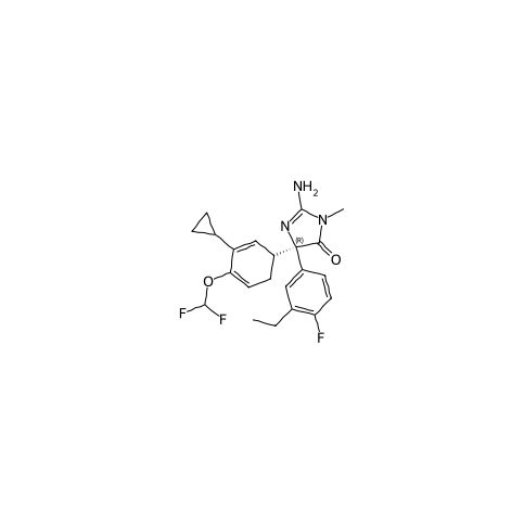 CCc1cc([C@@]2(C3C=C(C4CC4)C(OC(F)F)=CC3)N=C(N)N(C)C2=O)ccc1F